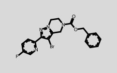 O=C(OCc1ccccc1)N1CCn2nc(-c3ccc(F)cn3)c(Br)c2C1